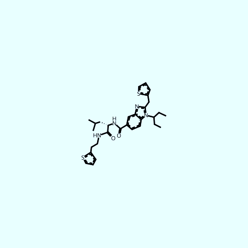 CCC(CC)n1c(Cc2cccs2)nc2cc(C(=O)N[C@@H](CC(C)C)C(=O)NCCc3cccs3)ccc21